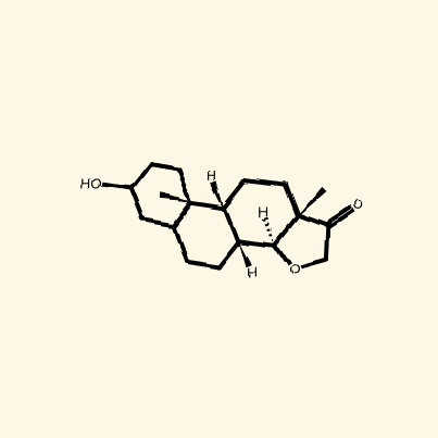 C[C@]12CCC(O)CC1CC[C@@H]1[C@H]2CC[C@]2(C)C(=O)CO[C@@H]12